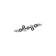 O=C(c1ccc(C(=O)c2ccccc2Oc2ccc(O)cc2)cc1)c1ccccc1Oc1ccc(O)cc1